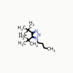 CCCCn1nnc(C(C)(C)C)c1C(C)(C)C